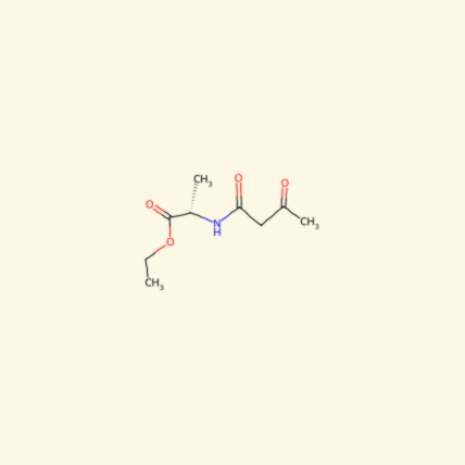 CCOC(=O)[C@H](C)NC(=O)CC(C)=O